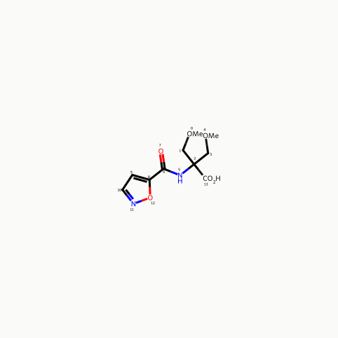 COCC(COC)(NC(=O)c1ccno1)C(=O)O